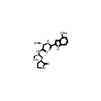 COc1cccc2[nH]c(C(=O)N[C@@H](CC(C)C)C(=O)N[C@H](COC(C)=O)C[C@@H]3CCNC3=O)cc12